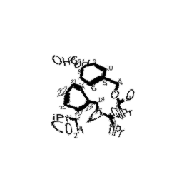 CC(C)C(=O)OCc1ccccc1.CC(C)CC(=O)O.CCCC(=O)OCc1ccccc1.O=CO